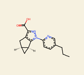 CCCc1ccc(-n2nc(C(=O)O)c3c2[C@H]2C[C@H]2C3)nc1